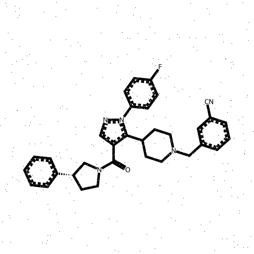 N#Cc1cccc(CN2CCC(c3c(C(=O)N4CC[C@H](c5ccccc5)C4)cnn3-c3ccc(F)cc3)CC2)c1